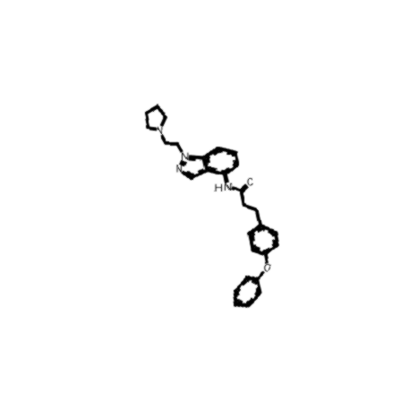 O=C(CCc1ccc(Oc2ccccc2)cc1)Nc1cccc2c1cnn2CCN1CCCC1